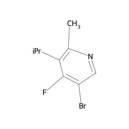 Cc1ncc(Br)c(F)c1C(C)C